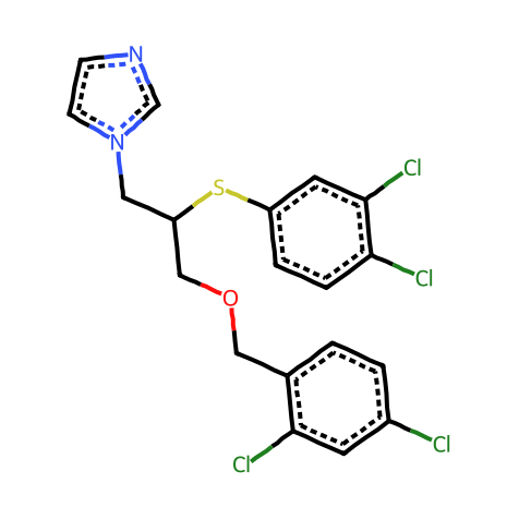 Clc1ccc(COCC(Cn2ccnc2)Sc2ccc(Cl)c(Cl)c2)c(Cl)c1